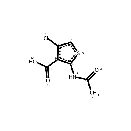 CC(=O)Nc1scc(Cl)c1C(=O)O